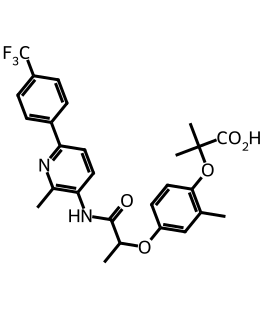 Cc1cc(OC(C)C(=O)Nc2ccc(-c3ccc(C(F)(F)F)cc3)nc2C)ccc1OC(C)(C)C(=O)O